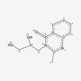 Cc1nc2ccccc2c(=O)n1CC(O)CO